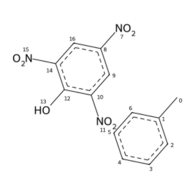 Cc1ccccc1.O=[N+]([O-])c1cc([N+](=O)[O-])c(O)c([N+](=O)[O-])c1